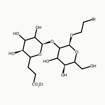 CCOC(=O)CCC1O[C@H](OC2C(O)[C@H](O)C(CO)O[C@@H]2OCCBr)C(O)C(O)[C@@H]1O